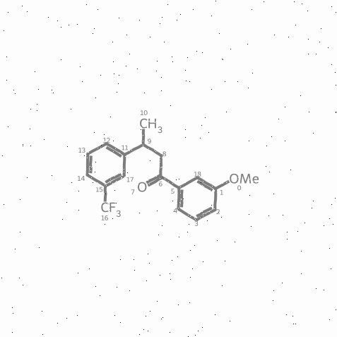 COc1cccc(C(=O)CC(C)c2cccc(C(F)(F)F)c2)c1